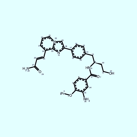 CC(C)Oc1ccc(C(=O)N[C@H](CCO)Cc2ccc(-c3cn4cccc(/C=C/C(N)=O)c4n3)cc2)cc1N